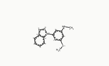 CPc1cc(SC)nc(-n2nnc3ccccc32)c1